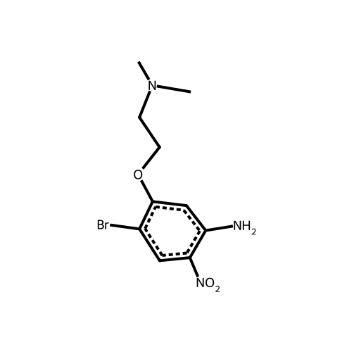 CN(C)CCOc1cc(N)c([N+](=O)[O-])cc1Br